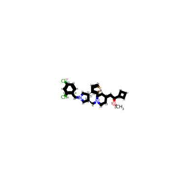 COC(CC1CCN(C[C@H]2CN(Cc3ccc(Cl)cc3Cl)C[C@@H]2c2ccsc2)CC1)C1CCC1